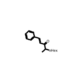 CCCCCCC(C)C(=O)C=Cc1ccccc1